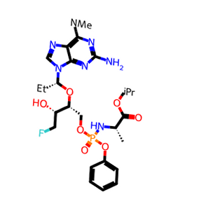 CC[C@@H](O[C@H](COP(=O)(N[C@@H](C)C(=O)OC(C)C)Oc1ccccc1)[C@@H](O)CF)n1cnc2c(NC)nc(N)nc21